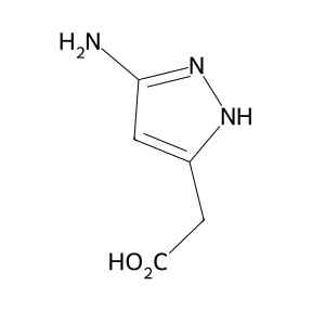 Nc1cc(CC(=O)O)[nH]n1